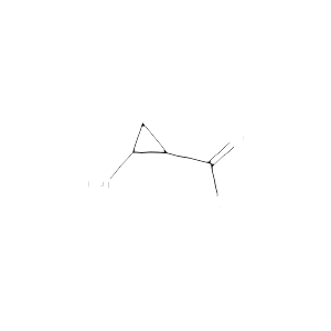 CCC(=O)C1CC1C(C)(C)C